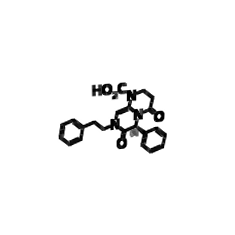 O=C1[C@H](c2ccccc2)N2C(=O)CCN(C(=O)O)C2=CN1CCc1ccccc1